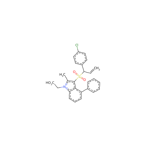 C=CC(c1ccc(Cl)cc1)S(=O)(=O)c1c(C)n(CC(=O)O)c2cccc(-c3ccccc3)c12